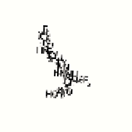 N=C(/N=c1/ccc(-c2ccc(NC(=O)Cc3ccc(F)cc3)cc2)c[nH]1)Nc1ccc(C(=O)N2CC(O)C2)cc1OCC(F)(F)F